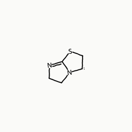 [C]1CSC2=NCCN12